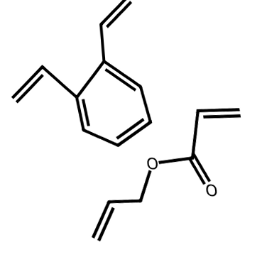 C=CCOC(=O)C=C.C=Cc1ccccc1C=C